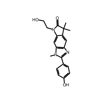 Cn1c(-c2ccc(O)cc2)nc2cc3c(cc21)N(CCO)C(=O)C3(C)C